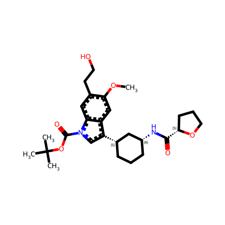 COc1cc2c([C@H]3CCC[C@@H](NC(=O)[C@@H]4CCCO4)C3)cn(C(=O)OC(C)(C)C)c2cc1CCO